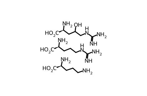 N=C(N)NCC(O)C[C@H](N)C(=O)O.N=C(N)NCCC[C@H](N)C(=O)O.NCCC[C@H](N)C(=O)O